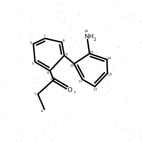 CCC(=O)c1ccccc1-c1ccccc1N